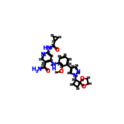 COc1c(Nc2cc(NC(=O)C3CC3)ncc2C(N)=O)cccc1-c1cnn([C@@H]2CCC23OCCO3)c1